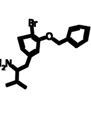 CC(C)C(N)Cc1ccc(Br)c(OCc2ccccc2)c1